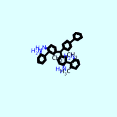 Cc1cccc(N)c1-c1c(N)ccc(C(c2ccc(-c3ccccc3)cc2)c2ccc(N)c(-c3ccccc3N)c2C)c1C